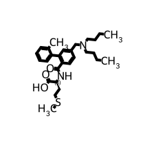 CCCCN(CCCC)Cc1ccc(C(=O)N[C@@H](CCSC)C(=O)O)c(-c2ccccc2C)c1